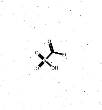 CCC(=O)S(=O)(=O)O